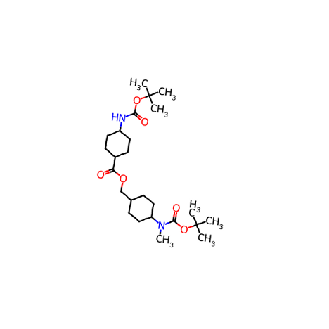 CN(C(=O)OC(C)(C)C)C1CCC(COC(=O)C2CCC(NC(=O)OC(C)(C)C)CC2)CC1